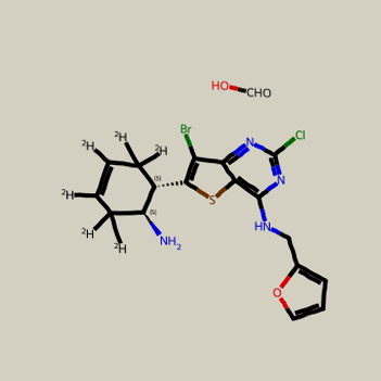 O=CO.[2H]C1=C([2H])C([2H])([2H])[C@H](c2sc3c(NCc4ccco4)nc(Cl)nc3c2Br)[C@@H](N)C1([2H])[2H]